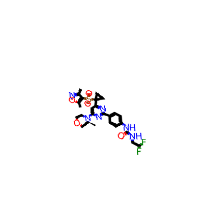 Cc1noc(C)c1S(=O)(=O)C1(c2cc(N3CCOC[C@@H]3C)nc(-c3ccc(NC(=O)NCC(F)F)cc3)n2)CC1